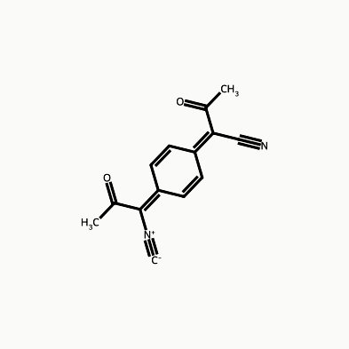 [C-]#[N+]C(C(C)=O)=c1ccc(=C(C#N)C(C)=O)cc1